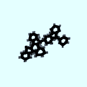 c1ccc(-n2c3ccccc3c3cc(-n4c5ccccc5c5c6sc7ccccc7c6c6ccccc6c54)ccc32)cc1